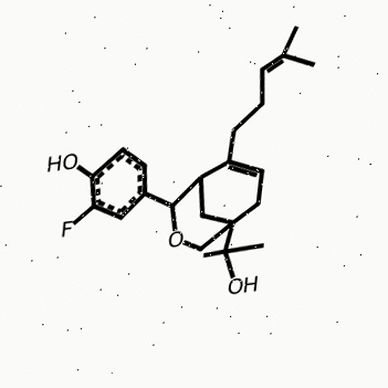 CC(C)=CCCC1=CCC2(C(C)(C)O)COC(c3ccc(O)c(F)c3)C1C2